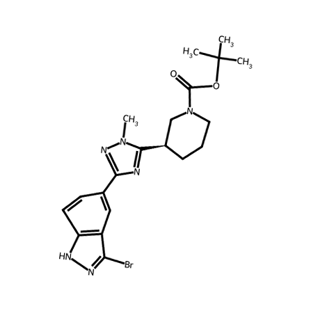 Cn1nc(-c2ccc3[nH]nc(Br)c3c2)nc1[C@@H]1CCCN(C(=O)OC(C)(C)C)C1